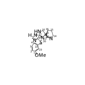 COc1ccc2nc(C3(N)NCC4(CN5CCC4CC5)N3C)sc2c1